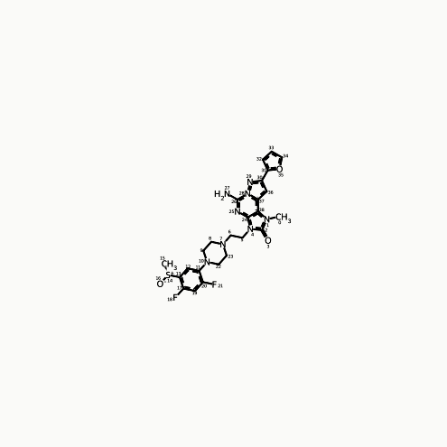 Cn1c(=O)n(CCN2CCN(c3cc([S@@+](C)[O-])c(F)cc3F)CC2)c2nc(N)n3nc(-c4ccco4)cc3c21